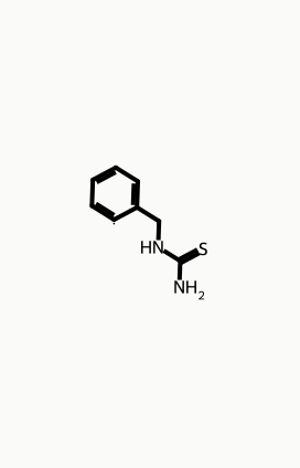 NC(=S)NCc1[c]cccc1